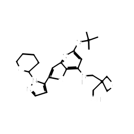 CC(C)(C)Nc1cc(NCC2(CO)COC2)c2sc(-c3ccnn3C3CCCCO3)cc2n1